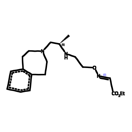 CCOC(=O)/C=N/OCCN[C@@H](C)CN1CCc2ccccc2CC1